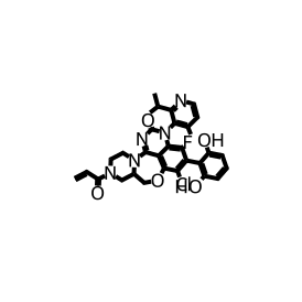 C=CC(=O)N1CCN2c3nc(=O)n(-c4c(C)ccnc4C(C)C)c4c(F)c(-c5c(O)cccc5O)c(Cl)c(c34)OCC2C1